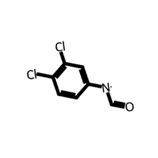 O=C[N]c1ccc(Cl)c(Cl)c1